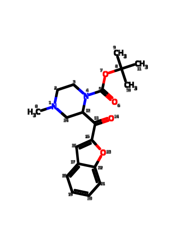 CN1CCN(C(=O)OC(C)(C)C)C(C(=O)c2cc3ccccc3o2)C1